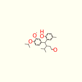 COc1cc(C(c2cc(C)ccc2O)C(CC=O)C(C)C)ccc1OC(C)C